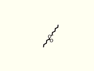 CCCCC[CH]OC(=O)CCCC